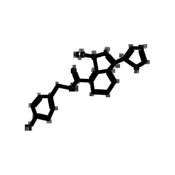 CCc1ccc(CNC(=O)c2cccc3c(-c4cnco4)nn(C)c23)cc1